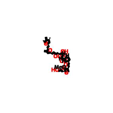 C=C1C[C@H](CCC(=O)C[C@H]2O[C@H]3[C@@H](O)[C@H]4C[C@@H](CC(=O)C[C@H]5CO[C@H](C[C@H](O)CO)[C@@H]5OC)CC[C@@H]4O[C@H]3[C@H]2O)O[C@H]1CC[C@H]1C[C@@H](C)C(=C)[C@@H](C)O1